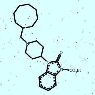 CCOC(=O)n1c(=O)n(C2CCN(CC3CCCCCCC3)CC2)c2ccccc21